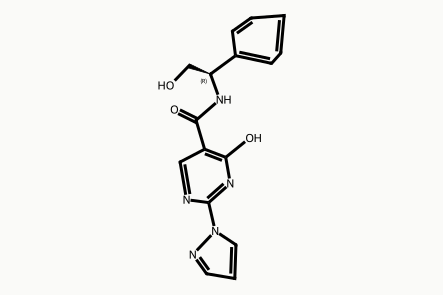 O=C(N[C@@H](CO)c1ccccc1)c1cnc(-n2cccn2)nc1O